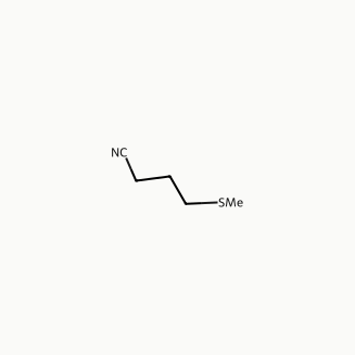 CSCCCC#N